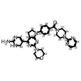 NC1=NC=C(c2nc(N3CCOCC3)nc3c2CCN3c2ccc(C(=O)N3CCN(c4ncccn4)CC3)cc2)CN1